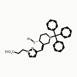 CCOC(=O)CCn1ccc(/C=C2/CN(C(c3ccccc3)(c3ccccc3)c3ccccc3)CC[C@H]2SC(C)=O)n1